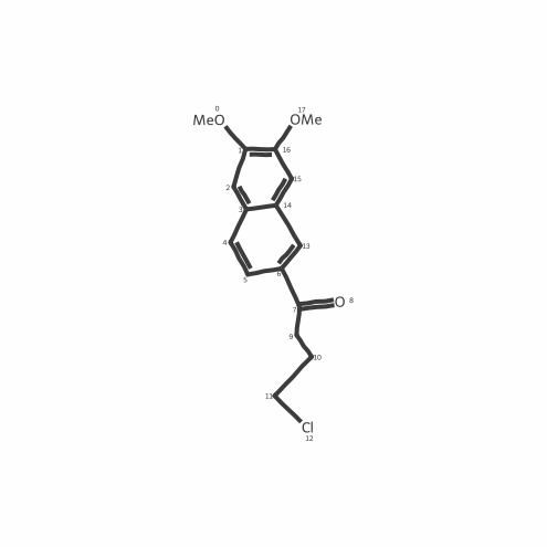 COc1cc2ccc(C(=O)CCCCl)cc2cc1OC